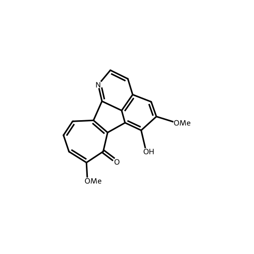 COc1cc2ccnc3c2c(c1O)-c1c-3cccc(OC)c1=O